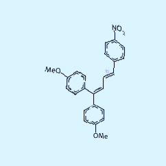 COc1ccc(C(=C/C=C/c2ccc([N+](=O)[O-])cc2)c2ccc(OC)cc2)cc1